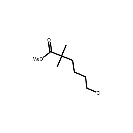 COC(=O)C(C)(C)CCCCCl